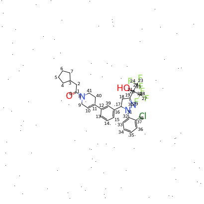 O=C(CC1CCCC1)N1CC=C(c2cccc(C3CC(C(O)(C(F)(F)F)C(F)(F)F)=NN3c3ccccc3Cl)c2)CC1